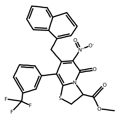 COC(=O)C1CSc2c(-c3cccc(C(F)(F)F)c3)c(Cc3cccc4ccccc34)c([N+](=O)[O-])c(=O)n21